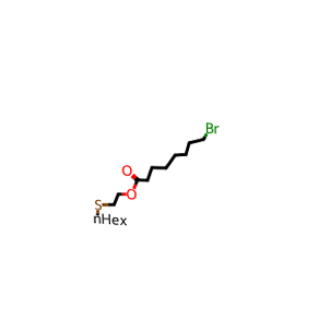 CCCCCCSCCOC(=O)CCCCCCCBr